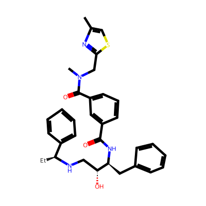 CC[C@H](NC[C@@H](O)[C@H](Cc1ccccc1)NC(=O)c1cccc(C(=O)N(C)Cc2nc(C)cs2)c1)c1ccccc1